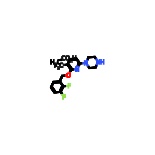 CC(=O)O.Fc1cccc(COc2nc(N3CCNCC3)ccc2C(F)(F)F)c1F